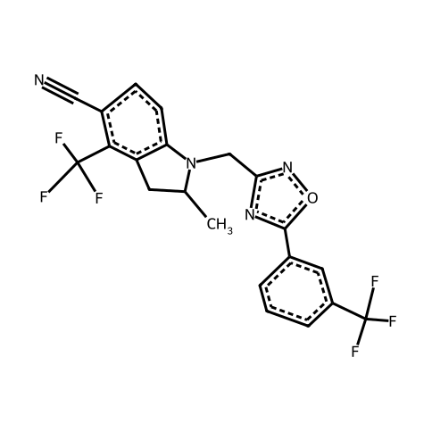 CC1Cc2c(ccc(C#N)c2C(F)(F)F)N1Cc1noc(-c2cccc(C(F)(F)F)c2)n1